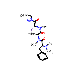 CCCC[C@@H](C(=O)N(CCC)[C@H](I)C(=O)NCC=O)N(C)C(=O)[C@H](Cc1ccccc1)N(C)C(C)=O